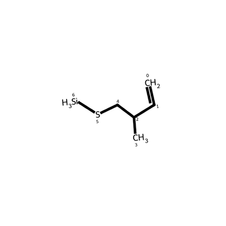 C=CC(C)CS[SiH3]